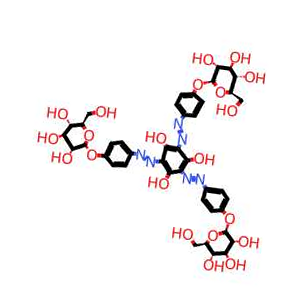 OC[C@H]1O[C@@H](Oc2ccc(N=Nc3c(O)c(N=Nc4ccc(O[C@@H]5O[C@H](CO)[C@@H](O)[C@H](O)[C@H]5O)cc4)c(O)c(N=Nc4ccc(O[C@@H]5O[C@H](CO)[C@@H](O)[C@H](O)[C@H]5O)cc4)c3O)cc2)[C@H](O)[C@@H](O)[C@@H]1O